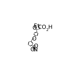 CCOC(CC(=O)O)c1ccc(OCc2cccc(S(=O)(=O)N(C)C)c2)cc1